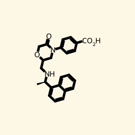 C[C@@H](NCC1CN(c2ccc(C(=O)O)cc2)C(=O)CO1)c1cccc2ccccc12